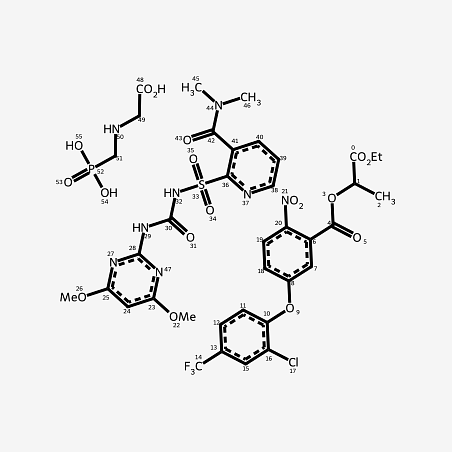 CCOC(=O)C(C)OC(=O)c1cc(Oc2ccc(C(F)(F)F)cc2Cl)ccc1[N+](=O)[O-].COc1cc(OC)nc(NC(=O)NS(=O)(=O)c2ncccc2C(=O)N(C)C)n1.O=C(O)CNCP(=O)(O)O